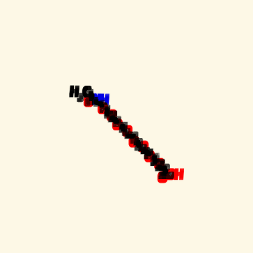 CCC(=O)NCCOCCOCCOCCOCCOCCOCCOCCOCCC(=O)O